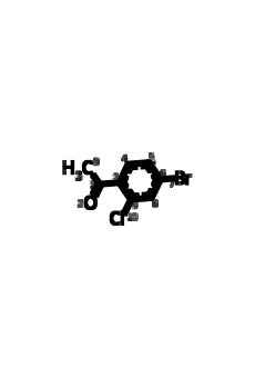 CC(=O)c1c[c]c(Br)cc1Cl